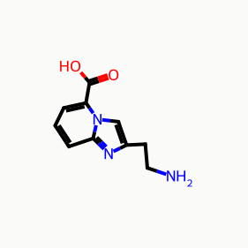 NCCc1cn2c(C(=O)O)cccc2n1